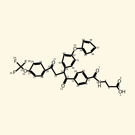 O=C(O)CCNC(=O)c1ccc(C(=O)C(CC(=O)c2ccc(OC(F)(F)F)cc2)c2ccc(Oc3ccccc3)cc2)cc1